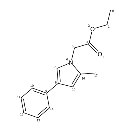 CCOC(=O)Cn1cc(-c2ccccc2)cc1C